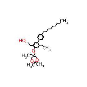 CCCCCCCCCc1ccc(-c2cc(CCCO)c(OCC3(CC)COC(C)(C)OC3)cc2CC)cc1